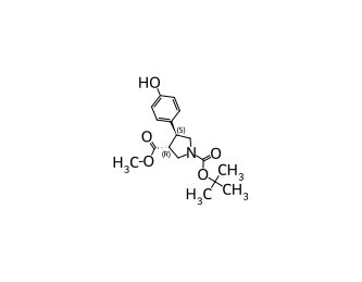 COC(=O)[C@H]1CN(C(=O)OC(C)(C)C)C[C@@H]1c1ccc(O)cc1